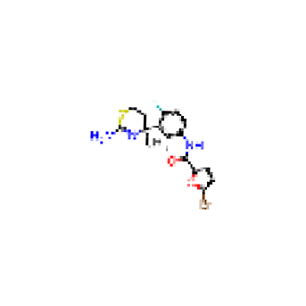 CC1(c2cc(NC(=O)c3ccc(Br)o3)ccc2F)CCSC(N)=N1